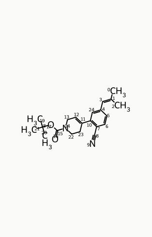 CC(C)=Cc1ccc(C#N)c(C2=CCN(C(=O)OC(C)(C)C)CC2)c1